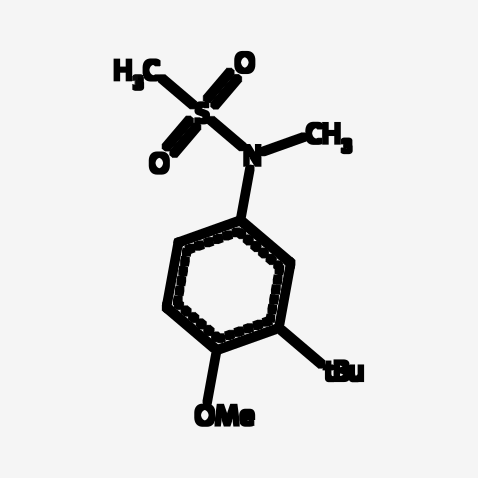 COc1ccc(N(C)S(C)(=O)=O)cc1C(C)(C)C